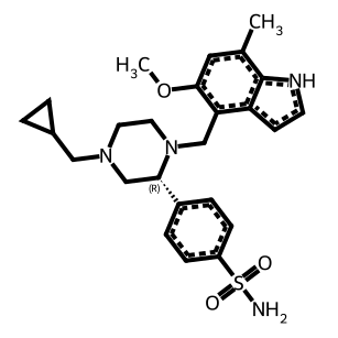 COc1cc(C)c2[nH]ccc2c1CN1CCN(CC2CC2)C[C@H]1c1ccc(S(N)(=O)=O)cc1